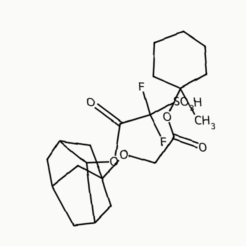 CC1(OC(=O)COC23CC4CC(C2)C(OC(=O)C(F)(F)S(=O)(=O)O)C(C4)C3)CCCCC1